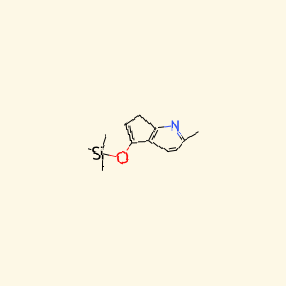 Cc1ccc2c(n1)CC=C2O[Si](C)(C)C